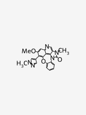 COc1cc2ncc3c4c2c(oc2ccccc2n4c(=O)n3C)c1-c1cnn(C)c1